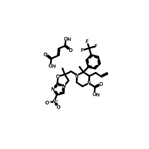 C=CCC1N(C(=O)O)CCN(CC2(C)Cn3cc([N+](=O)[O-])nc3O2)C1(C)c1cccc(C(F)(F)F)c1.O=C(O)C=CC(=O)O